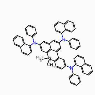 C[Si]1(C)c2ccc(N(c3ccccc3)c3cccc4ccccc34)cc2-c2cc(N(c3ccccc3)c3cccc4ccccc34)cc3cc(N(c4ccccc4)c4cccc5ccccc45)cc1c23